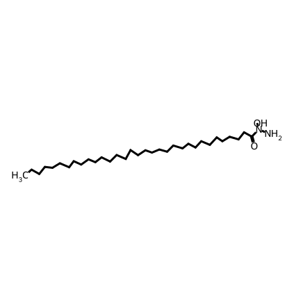 CCCCCCCCCCCCCCCCCCCCCCCCCCCCCCCCC(=O)N(N)O